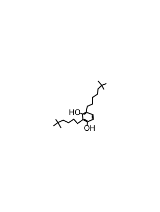 CC(C)(C)CCCCCc1ccc(O)c(CCCCC(C)(C)C)c1O